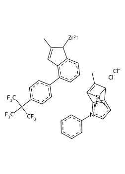 CC1=C2c3c(ccn3-c3ccccc3)C1[Si]2(C)C.CC1=Cc2c(-c3ccc(C(C(F)(F)F)(C(F)(F)F)C(F)(F)F)cc3)cccc2[CH]1[Zr+2].[Cl-].[Cl-]